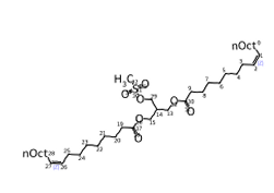 CCCCCCCC/C=C\CCCCCCCC(=O)OCC(COC(=O)CCCCCCC/C=C\CCCCCCCC)COS(C)(=O)=O